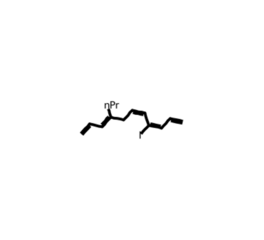 C=C/C=C(I)\C=C/C/C(=C/C=C)CCC